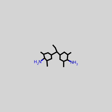 CCC(C1CC(C)C(N)C(C)C1)C1CC(C)C(N)C(C)C1